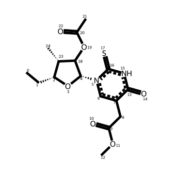 CC[C@H]1O[C@@H](n2cc(CC(=O)OC)c(=O)[nH]c2=S)C(OC(C)=O)[C@H]1C